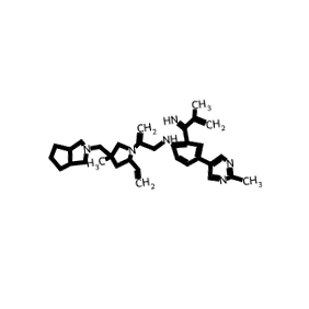 C=CC1CC(C)(CN2CC3CCCC3C2)CN1C(=C)CNc1ccc(-c2cnc(C)nc2)cc1C(=N)C(=C)C